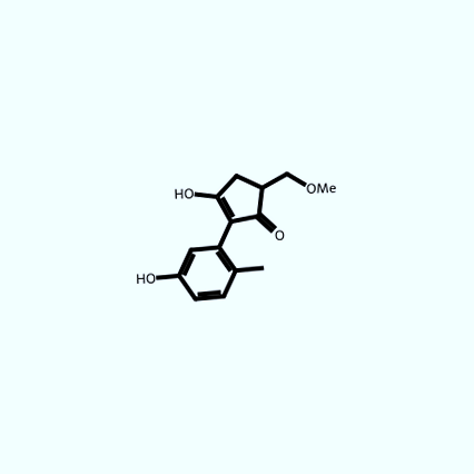 COCC1CC(O)=C(c2cc(O)ccc2C)C1=O